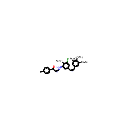 COc1cc(/C=C\c2cc(F)c(OC)c(N/C=C\C(=O)c3ccc(C)cc3)c2)cc(OC)c1OC